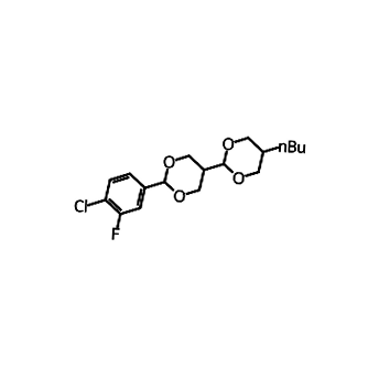 CCCCC1COC(C2COC(c3ccc(Cl)c(F)c3)OC2)OC1